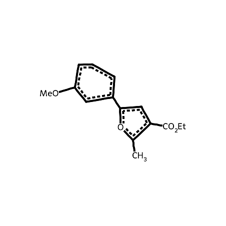 CCOC(=O)c1cc(-c2cccc(OC)c2)oc1C